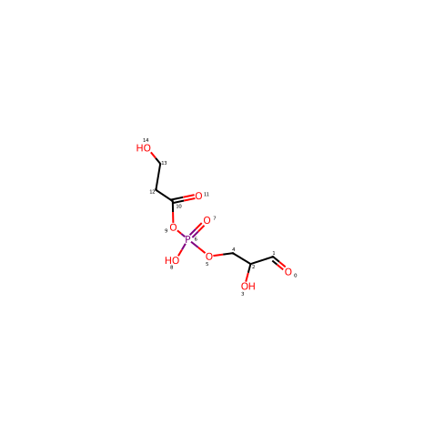 O=CC(O)COP(=O)(O)OC(=O)CCO